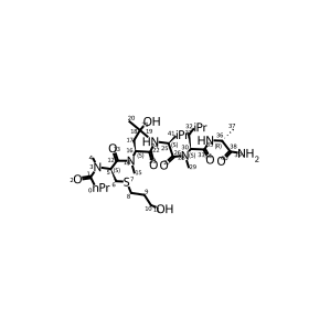 CCCC(=O)N(C)[C@H](CSCCCO)C(=O)N(C)[C@@H](CC(C)(C)O)C(=O)N[C@H](C(=O)N(C)[C@@H](CC(C)C)C(=O)N[C@H](C)C(N)=O)C(C)C